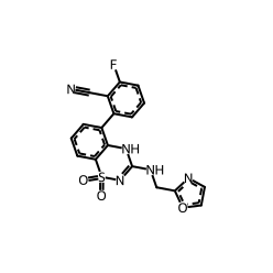 N#Cc1c(F)cccc1-c1cccc2c1NC(NCc1ncco1)=NS2(=O)=O